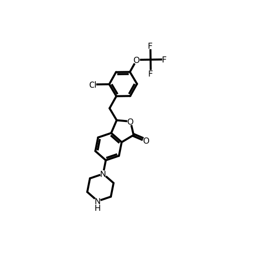 O=C1OC(Cc2ccc(OC(F)(F)F)cc2Cl)c2ccc(N3CCNCC3)cc21